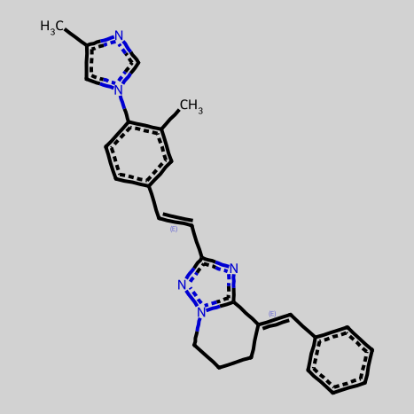 Cc1cn(-c2ccc(/C=C/c3nc4n(n3)CCC/C4=C\c3ccccc3)cc2C)cn1